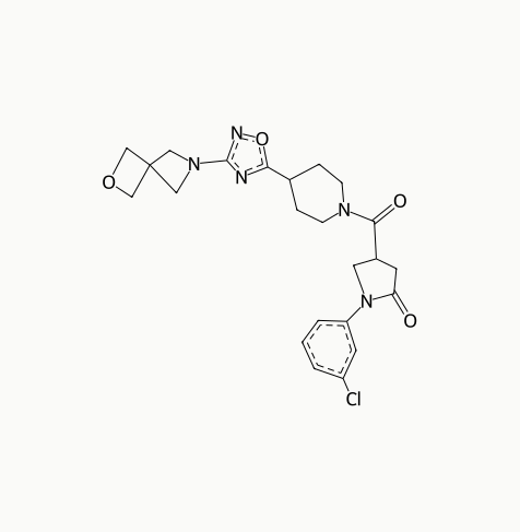 O=C(C1CC(=O)N(c2cccc(Cl)c2)C1)N1CCC(c2nc(N3CC4(COC4)C3)no2)CC1